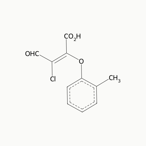 Cc1ccccc1OC(C(=O)O)=C(Cl)C=O